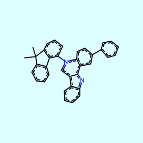 CC1(C)c2ccccc2-c2c(-n3cc4c5ccccc5nc-4c4cc(-c5ccccc5)ccc43)cccc21